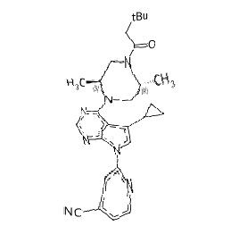 C[C@@H]1CN(c2ncnc3c2c(C2CC2)cn3-c2cc(C#N)ccn2)[C@@H](C)CN1C(=O)CC(C)(C)C